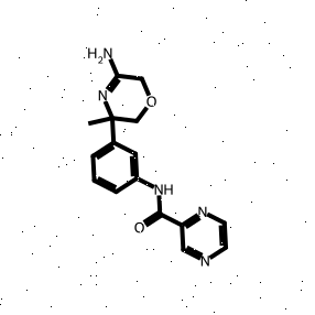 CC1(c2cccc(NC(=O)c3cnccn3)c2)COCC(N)=N1